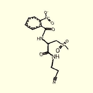 CS(=O)(=O)CC(NC(=O)c1ccccc1[N+](=O)[O-])C(=O)NCCC#N